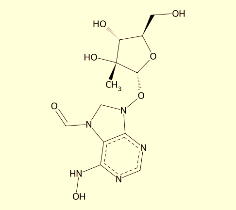 C[C@]1(O)[C@@H](ON2CN(C=O)c3c(NO)ncnc32)O[C@H](CO)[C@H]1O